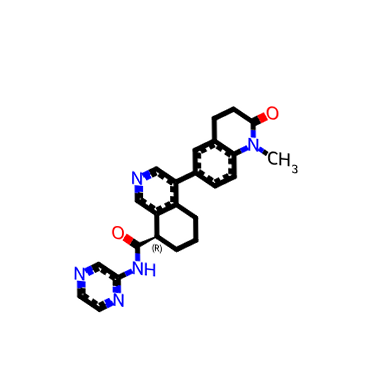 CN1C(=O)CCc2cc(-c3cncc4c3CCC[C@H]4C(=O)Nc3cnccn3)ccc21